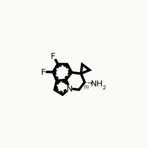 N[C@@H]1Cn2ccc3c(F)c(F)cc(c32)C12CC2